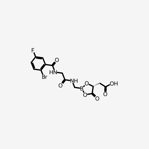 O=C(O)C[C@H]1OB(CNC(=O)CNC(=O)c2cc(F)ccc2Br)OC1=O